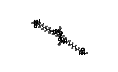 CNC(=O)CCCCCCCC/C=C/C(CSSCC(/C=C/CCCCCCCCC(=O)NC)NC(C)=O)NC(C)=O